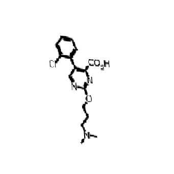 CN(C)CCCOc1ncc(-c2ccccc2Cl)c(C(=O)O)n1